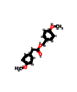 COc1ccc([CH]C(=O)OCc2ccc(OC)cc2)cc1